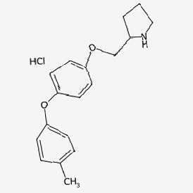 Cc1ccc(Oc2ccc(OCC3CCCN3)cc2)cc1.Cl